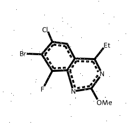 CCc1nc(OC)nc2c(F)c(Br)c(Cl)cc12